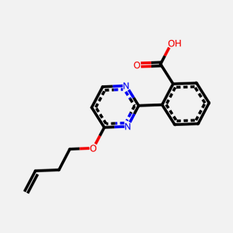 C=CCCOc1ccnc(-c2ccccc2C(=O)O)n1